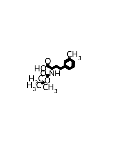 Cc1cccc(CCC(NC(=O)OC(C)(C)C)C(=O)O)c1